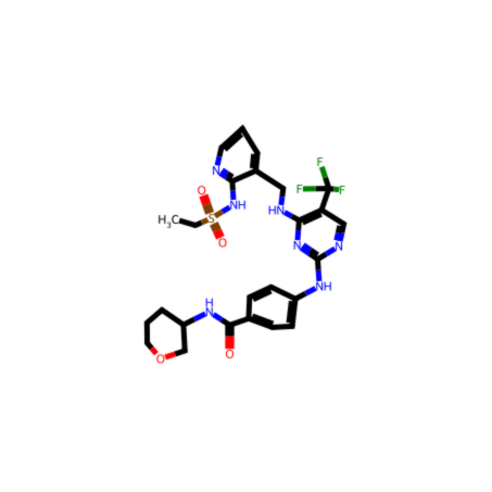 CCS(=O)(=O)Nc1ncccc1CNc1nc(Nc2ccc(C(=O)NC3CCCOC3)cc2)ncc1C(F)(F)F